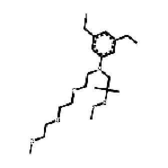 COCCOCCOCCN(CC(C)(C)SSC)c1cc(CI)cc(CI)c1